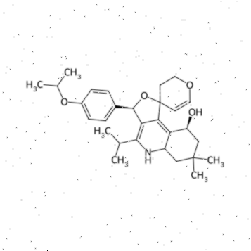 CC(C)Oc1ccc([C@H]2OC3(C=COCC3)C3=C4C(CC(C)(C)C[C@@H]4O)NC(C(C)C)=C32)cc1